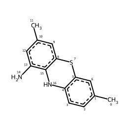 Cc1ccc2c(c1)Sc1cc(C)cc(N)c1N2